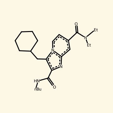 CCCCNC(=O)c1nc2cc(C(=O)N(CC)CC)ccn2c1CC1CCCCC1